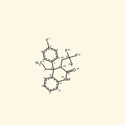 CCC1(c2ccc(F)cc2)c2ccccc2NC(=O)N1CC(F)(F)F